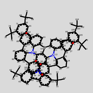 CC(C)(C)c1cc(-c2ccc3c(c2)N(C2=C(c4ccccc4)CCC=C2c2ccccc2)c2cc(-n4c5cc(C(C)(C)C)ccc5c5ccc(C(C)(C)C)cc54)cc4c2B3c2ccc(-c3cc(C(C)(C)C)cc(C(C)(C)C)c3)cc2N4c2c(-c3ccccc3)cccc2-c2ccccc2)cc(C(C)(C)C)c1